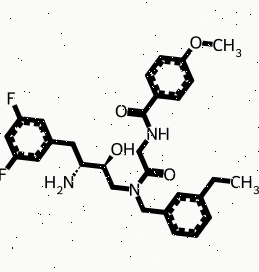 CCc1cccc(CN(C[C@H](O)[C@H](N)Cc2cc(F)cc(F)c2)C(=O)CNC(=O)c2ccc(OC)cc2)c1